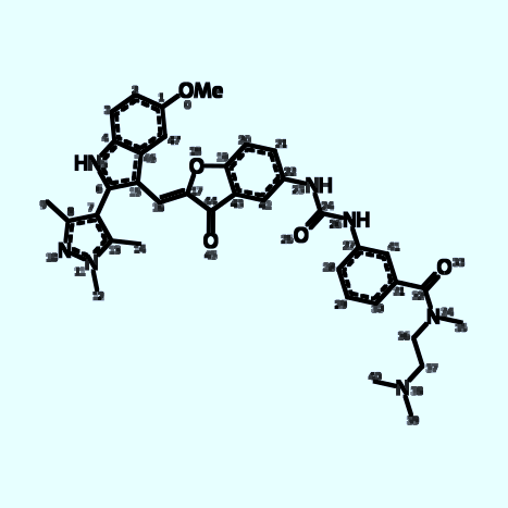 COc1ccc2[nH]c(-c3c(C)nn(C)c3C)c(/C=C3\Oc4ccc(NC(=O)Nc5cccc(C(=O)N(C)CCN(C)C)c5)cc4C3=O)c2c1